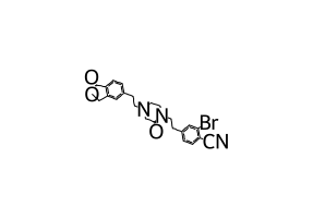 N#Cc1ccc(CCN2CCN(CCc3ccc4c(c3)COC4=O)CC2=O)cc1Br